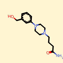 NC(=O)CCCN1CCN(c2cccc(CO)c2)CC1